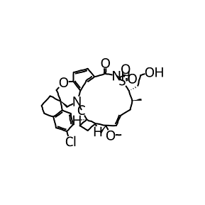 CO[C@@]1(C)/C=C/C[C@H](C)[C@@H](CCO)S(=O)(=O)NC(=O)c2ccc3c(c2)N(C[C@@H]2CC[C@H]21)C[C@@]1(CCCc2cc(Cl)ccc21)CO3